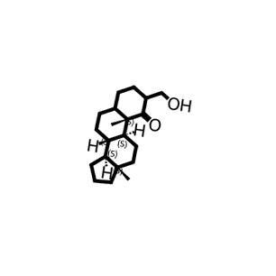 C[C@@]12CCC[C@H]1[C@@H]1CCC3CCC(CO)C(=O)[C@]3(C)[C@H]1CC2